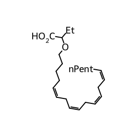 CCCCC/C=C\C/C=C\C/C=C\C/C=C\CCCCOC(CC)C(=O)O